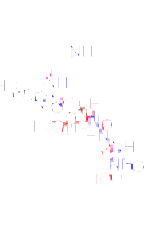 CC[C@@]1(O)C(=O)OC(CC(C)(C)OC(=O)NCC(=O)NCC(=O)N[C@@H](CCc2ccccc2)C(=O)NCC(=O)O)c2c1cc1n(c2=O)Cc2c-1nc1cc(F)c(C)c3c1c2[C@@H](NC(=O)CCCCCN)CC3